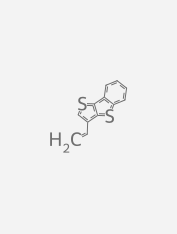 C=Cc1csc2c1sc1ccccc12